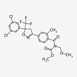 COCN(C(=O)OC)C(=O)c1ccc(C2=NOC(c3cc(Cl)cc(Cl)c3)(C(F)(F)F)C2)cc1C